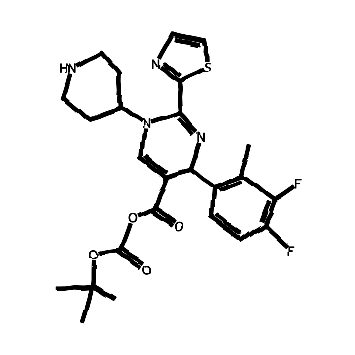 Cc1c(C2N=C(c3nccs3)N(C3CCNCC3)C=C2C(=O)OC(=O)OC(C)(C)C)ccc(F)c1F